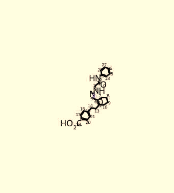 O=C(CN/N=C\C1C2CCC(O2)C1CCc1ccc(C(=O)O)cc1)Nc1ccccc1